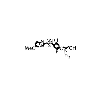 COc1ccc2nc(-c3nnc(-c4cc(F)c(OCC(N)CO)cc4Cl)s3)cn2c1